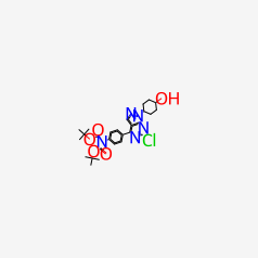 CC(C)(C)OC(=O)N(C(=O)OC(C)(C)C)c1ccc(-c2nc(Cl)nc3c2cnn3C2CCC(O)CC2)cc1